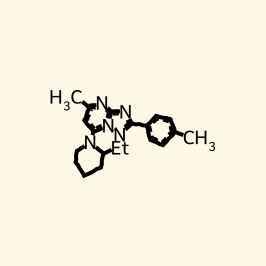 CCC1CCCCN1c1cc(C)nc2nc(-c3ccc(C)cc3)nn12